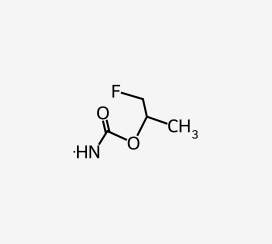 CC(CF)OC([NH])=O